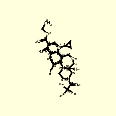 CCOC(=O)c1cn(C2CC2)c2c3c(c(F)cc2c1=O)N1CCN(C(=O)C(F)(F)F)C[C@H]1COC3